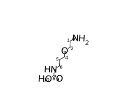 NCCOCCCNC(=O)O